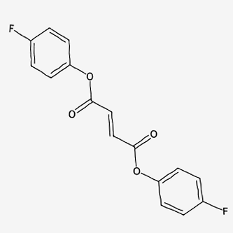 O=C(/C=C/C(=O)Oc1ccc(F)cc1)Oc1ccc(F)cc1